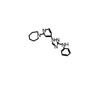 c1ccc(Nc2ncn(-c3ccnc(N4CCCCCC4)c3)n2)cc1